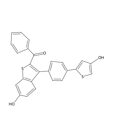 O=C(c1ccccc1)c1sc2cc(O)ccc2c1-c1ccc(-c2cc(O)cs2)cc1